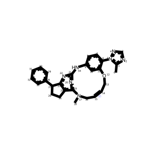 Cc1ncnn1-c1ccc2cc1OC/C=C\CN(C)c1nc(nc3c1CCC3c1ccccc1)N2